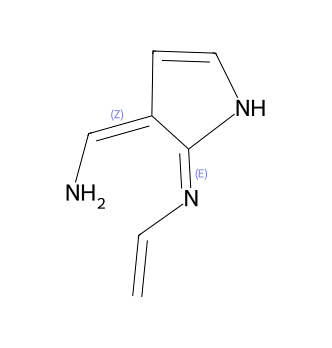 C=C/N=C1/NC=C/C1=C/N